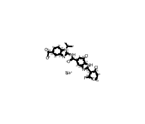 CC(C)n1c(NC(=O)c2cc(Cl)c3[nH]c(-c4c(F)cccc4Cl)nc3c2)nc2cc(C(=O)[O-])ccc21.[Na+]